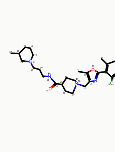 Cc1cccc(Cl)c1-c1nc(CN2CCC(C(=O)NCCCN3CCCC(C)C3)CC2)c(C)o1